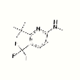 CNc1ccc(C(F)(F)F)c(C(C)(C)C)n1